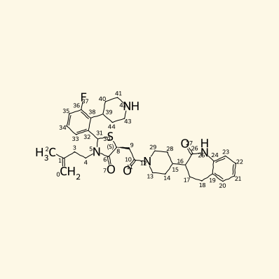 C=C(C)CCN1C(=O)[C@H](CC(=O)N2CCC(C3CCc4ccccc4NC3=O)CC2)SC1c1cccc(F)c1C1CCNCC1